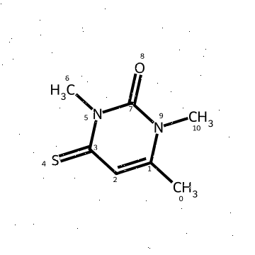 Cc1cc(=S)n(C)c(=O)n1C